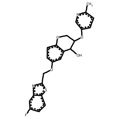 Cc1ccc(OC2COc3ccc(OCc4nc5cc(F)ccc5s4)cc3C2O)cn1